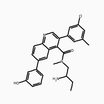 CCC(N)CN(C)C(=O)c1c(-c2cc(C)cc(Cl)c2)cnc2ccc(-c3cccc(O)c3)cc12